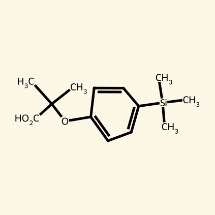 CC(C)(Oc1ccc([Si](C)(C)C)cc1)C(=O)O